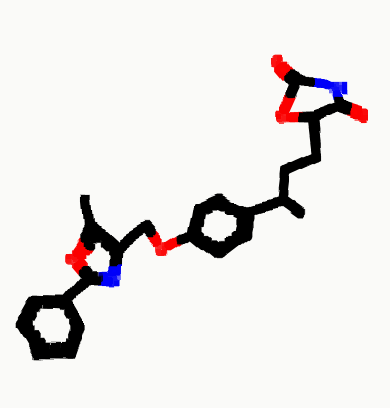 Cc1oc(-c2ccccc2)nc1COc1ccc(C(C)CCC2OC(=O)NC2=O)cc1